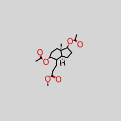 COC(=O)CCC1C(OC(C)=O)CC[C@]2(C)C(OC(C)=O)CC[C@@H]12